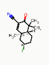 CC1(C)C(=O)C(C#N)=C[C@]2(C)C[C@H](F)CC[C@@H]12